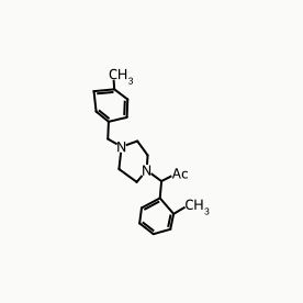 CC(=O)C(c1ccccc1C)N1CCN(Cc2ccc(C)cc2)CC1